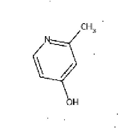 Cc1cc(O)ccn1